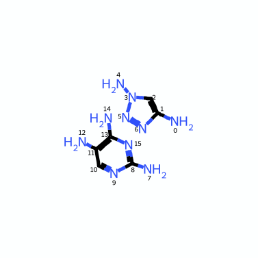 Nc1cn(N)nn1.Nc1ncc(N)c(N)n1